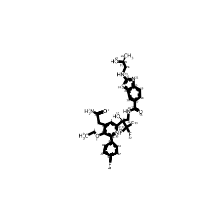 CCOc1c(CC(N)=O)cc([C@@](O)(CNC(=O)c2ccc3nc(NC[C@H](C)O)sc3c2)C(F)(F)F)nc1-c1ccc(F)cc1